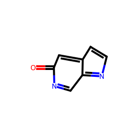 O=C1C=C2C=CN=C2C=N1